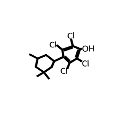 CC1CC(c2c(Cl)c(Cl)c(O)c(Cl)c2Cl)CC(C)(C)C1